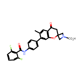 Cc1cc2c(cc1-c1ccc(NC(=O)c3c(F)cccc3F)cc1)OC1(CC2=O)CN(C(=O)O)C1